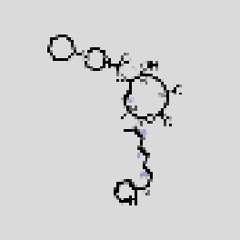 C\C(=C/C=C/C=C/[C@H](C)c1ccccn1)[C@H]1OC(=O)C[C@@H](O)CC[C@](C)(O)C(OC(=O)N2CCN(C3CCCCCC3)CC2)/C=C/[C@@H]1C